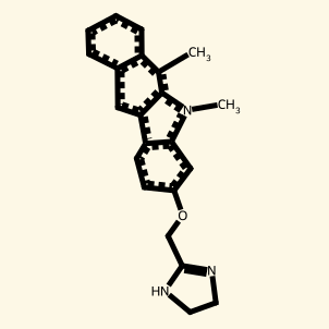 Cc1c2ccccc2cc2c3ccc(OCC4=NCCN4)cc3n(C)c12